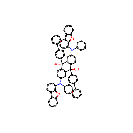 OC1(c2ccc(-c3ccccc3)cc2)c2ccc(N(c3ccccc3)c3cccc4c3oc3ccccc34)cc2C(O)(c2ccc(-c3ccccc3)cc2)c2ccc(N(c3ccccc3)c3cccc4c3oc3ccccc34)cc21